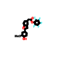 COc1cc(-c2cc3cc(CC(=O)Oc4c(F)c(F)c(F)c(F)c4F)ccc3o2)ccc1O